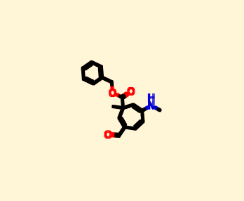 CNC1=CC(C)(C(=O)OCc2ccccc2)C=C(C=O)C=C1